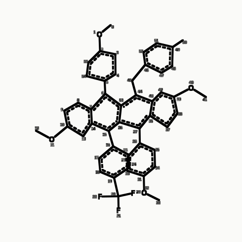 COc1ccc(-c2c3ccc(OC)cc3c(-c3ccc(C(F)(F)F)cc3)c3c(-c4ccc(OC)cc4)c4ccc(OC)cc4c(Cc4ccc(C)cc4)c23)cc1